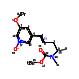 CC(C)Oc1cc(/C=C/C[C@H](C)N(C)C(=O)OC(C)(C)C)c[n+]([O-])c1